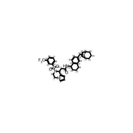 O=C(CC1c2cccn2CCN1S(=O)(=O)c1cccc(C(F)(F)F)c1)NC1CCCc2cc(CN3C4CCCC3CC4)ccc21